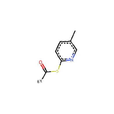 CCC(=O)Sc1ccc(C)cn1